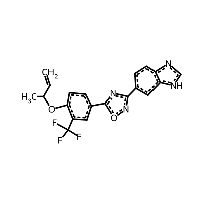 C=CC(C)Oc1ccc(-c2nc(-c3ccc4nc[nH]c4c3)no2)cc1C(F)(F)F